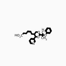 CC(C)(Oc1ccccc1)C1OCC(C/C=C\CCC(=O)O)C(c2cccnc2)O1